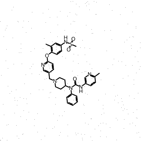 Cc1ccc(NC(=O)N(c2ccccc2)C2CCN(Cc3ccc(Oc4ccc(NS(C)(=O)=O)cc4C)nc3)CC2)cn1